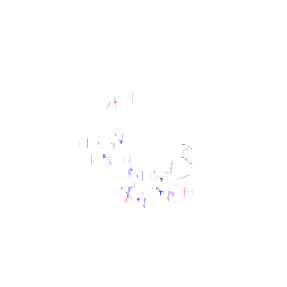 COCCN=S(C)(=N)CCNc1nonc1/C(=N/O)Nc1ccc(F)c(Br)c1